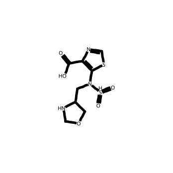 O=C(O)c1ncsc1N(CC1COCN1)[SH](=O)=O